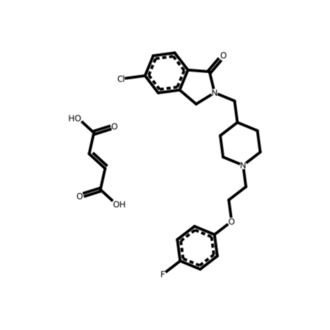 O=C(O)C=CC(=O)O.O=C1c2ccc(Cl)cc2CN1CC1CCN(CCOc2ccc(F)cc2)CC1